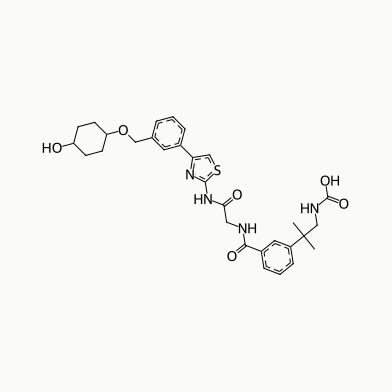 CC(C)(CNC(=O)O)c1cccc(C(=O)NCC(=O)Nc2nc(-c3cccc(COC4CCC(O)CC4)c3)cs2)c1